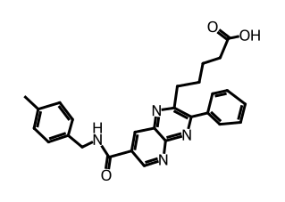 Cc1ccc(CNC(=O)c2cnc3nc(-c4ccccc4)c(CCCCC(=O)O)nc3c2)cc1